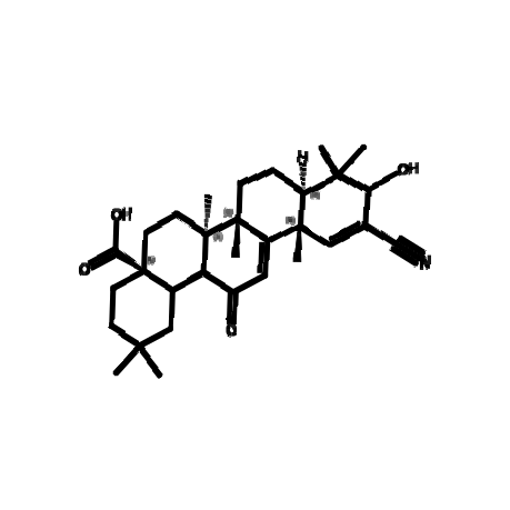 CC1(C)CC[C@]2(C(=O)O)CC[C@]3(C)C(C(=O)C=C4[C@@]5(C)C=C(C#N)C(O)C(C)(C)[C@@H]5CC[C@]43C)C2C1